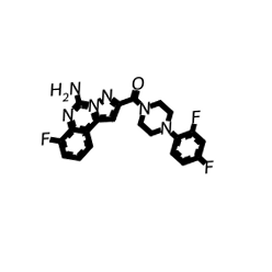 Nc1nc2c(F)cccc2c2cc(C(=O)N3CCN(c4ccc(F)cc4F)CC3)nn12